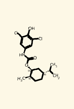 CC(C)[C@@H]1CC[C@@H](C)[C@@H](OC(=O)Nc2cc(Cl)c(O)c(Cl)c2)C1